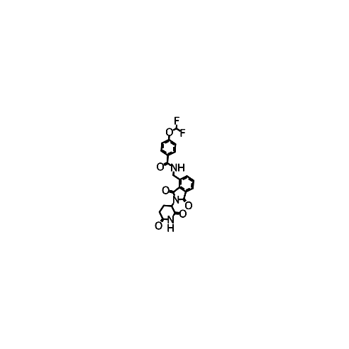 O=C1CCC(N2C(=O)c3cccc(CNC(=O)c4ccc(OC(F)F)cc4)c3C2=O)C(=O)N1